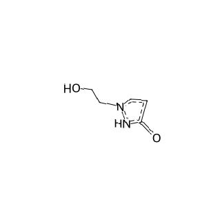 O=c1ccn(CCO)[nH]1